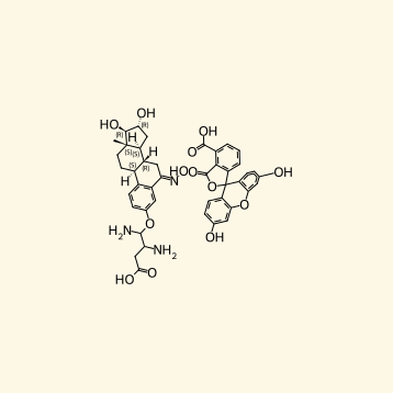 C[C@]12CC[C@@H]3c4ccc(OC(N)C(N)CC(=O)O)cc4C(=NO)C[C@H]3[C@@H]1C[C@@H](O)[C@@H]2O.O=C(O)c1cccc2c1C(=O)OC21c2ccc(O)cc2Oc2cc(O)ccc21